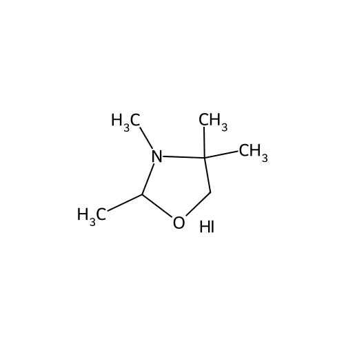 CC1OCC(C)(C)N1C.I